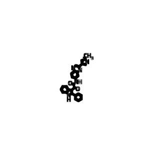 Cn1cc(-c2cnc3ccc(NC(=O)C(=O)c4c(-c5ccccc5)[nH]c5ccccc45)cc3n2)cn1